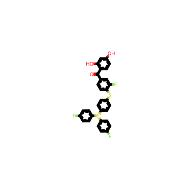 O=C(c1ccc(Sc2ccc([S+](c3ccc(F)cc3)c3ccc(F)cc3)cc2)c(F)c1)c1ccc(O)cc1O